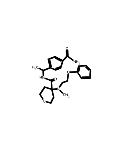 CC(NC(=O)C1(N(C)CCOc2ccccc2)CCOCC1)c1ccc(C(N)=O)cc1